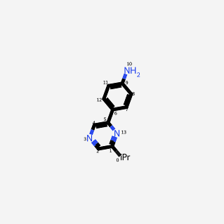 CC(C)c1cncc(-c2ccc(N)cc2)n1